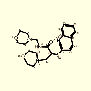 O=C(NCN1CCOCC1)C(CN1CCOCC1)Sc1ccc2ccccc2n1